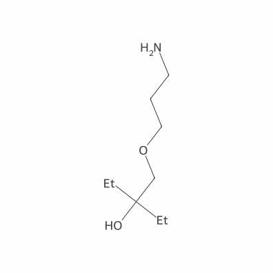 CCC(O)(CC)COCCCN